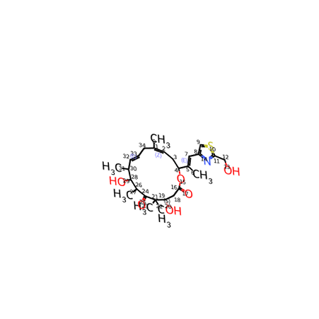 C/C1=C/CC(/C(C)=C/c2csc(CO)n2)OC(=O)C[C@H](O)C(C)(C)C(=O)C(C)C(O)C(C)/C=C/C1